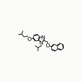 CC(C)CCOc1ccc2nc(COc3ccc4ccccc4c3)n(CC(C)C)c2c1